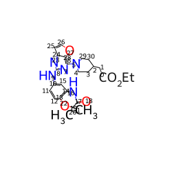 CCOC(=O)CC1CCN(c2nc(Nc3ccc4c(c3)NC(=O)C(C)(C)O4)nc3ccoc23)CC1